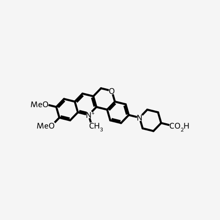 COc1cc2cc3c([n+](C)c2cc1OC)-c1ccc(N2CCC(C(=O)O)CC2)cc1OC3